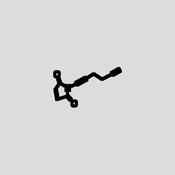 C#CCCC#CN1C(=O)C=CC1=O